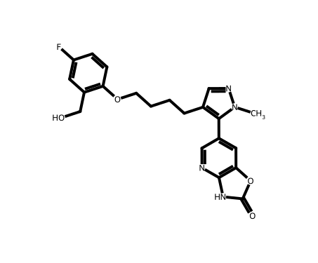 Cn1ncc(CCCCOc2ccc(F)cc2CO)c1-c1cnc2[nH]c(=O)oc2c1